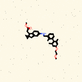 COCCOc1cc(C)c(-c2cccc(CNc3ccc4c(c3)CC3(CC3)C4CC(=O)OC)c2C)c(C)c1